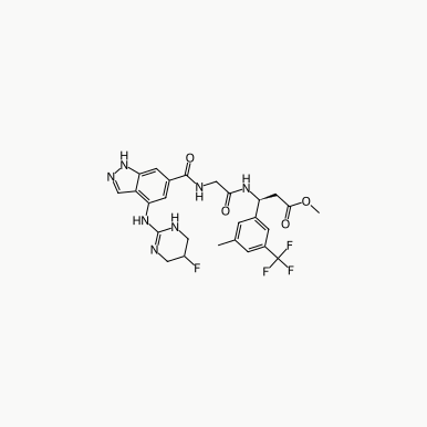 COC(=O)C[C@H](NC(=O)CNC(=O)c1cc(NC2=NCC(F)CN2)c2cn[nH]c2c1)c1cc(C)cc(C(F)(F)F)c1